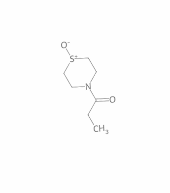 CCC(=O)N1CC[S+]([O-])CC1